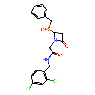 O=C(CN1C(=O)CC1[S+]([O-])Cc1ccccc1)NCc1ccc(Cl)cc1Cl